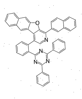 c1ccc(-c2nc(-c3ccccc3)nc(-c3ccccc3-c3cnc(-c4ccc5ccccc5c4)c4oc5cc6ccccc6cc5c34)n2)cc1